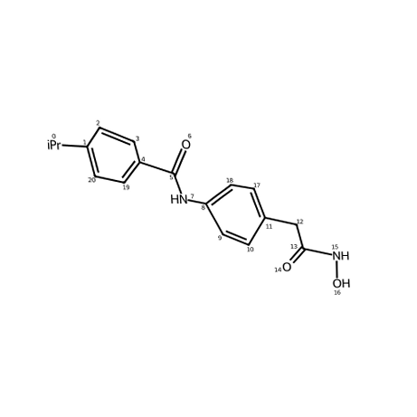 CC(C)c1ccc(C(=O)Nc2ccc(CC(=O)NO)cc2)cc1